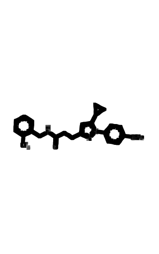 COc1ccc(-n2nc(CCC(=O)NCc3ccccc3C(F)(F)F)cc2C2CC2)cc1